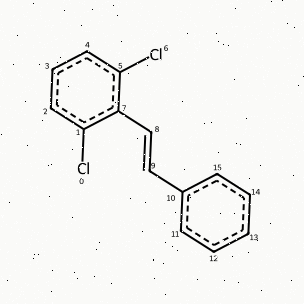 Clc1cccc(Cl)c1/C=C/c1ccccc1